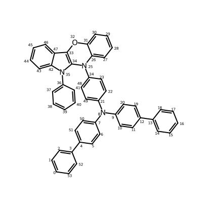 c1ccc(-c2ccc(N(c3ccc(-c4ccccc4)cc3)c3ccc(N4c5ccccc5Oc5c4n(-c4ccccc4)c4ccccc54)cc3)cc2)cc1